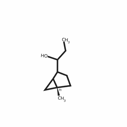 CCC(O)C1CC[C@]2(C)CC12